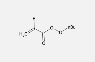 C=C(CC)C(=O)OOCCCC